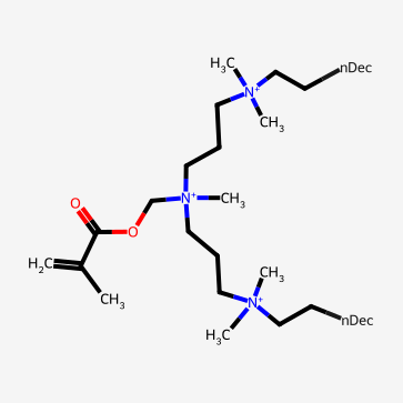 C=C(C)C(=O)OC[N+](C)(CCC[N+](C)(C)CCCCCCCCCCCC)CCC[N+](C)(C)CCCCCCCCCCCC